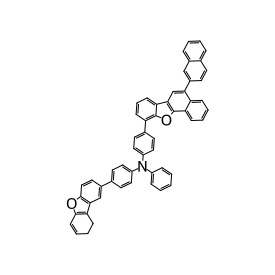 C1=Cc2oc3ccc(-c4ccc(N(c5ccccc5)c5ccc(-c6cccc7c6oc6c8ccccc8c(-c8ccc9ccccc9c8)cc76)cc5)cc4)cc3c2CC1